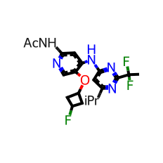 CC(=O)Nc1cc(Nc2cc(C(C)C)nc(C(C)(F)F)n2)c(OC2CC(F)C2)cn1